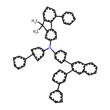 CC1(C)c2cc(N(c3ccc(-c4ccccc4)cc3)c3ccc(-c4cc5ccccc5cc4-c4cccc(-c5ccccc5)c4)cc3)ccc2-c2c(-c3ccccc3)cccc21